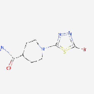 NC(=O)C1CCN(c2nnc(Br)s2)CC1